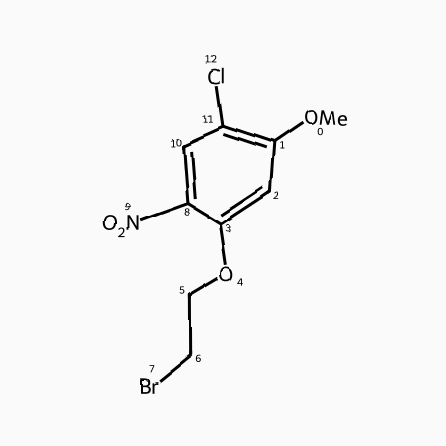 COc1cc(OCCBr)c([N+](=O)[O-])cc1Cl